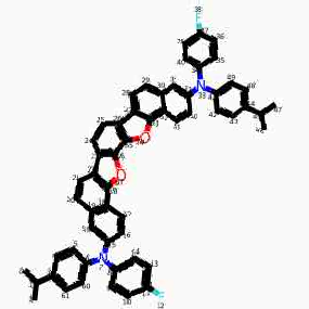 CC(C)c1ccc(N(c2ccc(F)cc2)c2ccc3c(ccc4c5ccc6c7ccc8cc(N(c9ccc(F)cc9)c9ccc(C(C)C)cc9)ccc8c7oc6c5oc34)c2)cc1